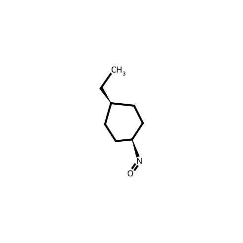 CC[C@H]1CC[C@@H](N=O)CC1